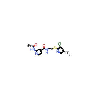 CC(C)C(=O)Nc1cc(C(=O)NCCSc2ncc(C(F)(F)F)cc2Cl)ccn1